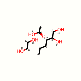 CC(=O)O.CCCCC(O)CO.OCCO